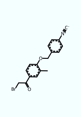 [C-]#[N+]c1ccc(COc2ccc(C(=O)CBr)cc2C)cc1